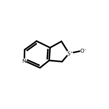 [O-][S+]1Cc2ccncc2C1